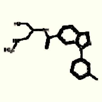 Cc1cccc(-n2ncc3ccc(C(=O)NC(CO)CNC(=O)O)cc32)c1